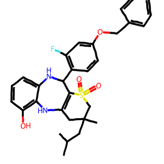 CC(C)CC1(C)CC2=C(C(c3ccc(OCc4ccccc4)cc3F)Nc3cccc(O)c3N2)S(=O)(=O)C1